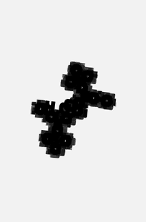 CC1(C)c2cc(N(c3ccc(-c4ccccc4)cc3)c3ccc([Si](c4ccccc4)(c4ccccc4)c4ccccc4)cc3)ccc2-c2ccc3cc(N(c4ccc(-c5ccccc5)cc4)c4ccc([Si](c5ccccc5)(c5ccccc5)c5ccccc5)cc4)ccc3c21